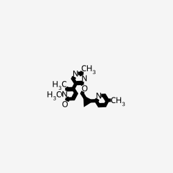 Cc1ccc(C2CC2COc2nc(C)ncc2-c2ccc(=O)n(C)c2C)nc1